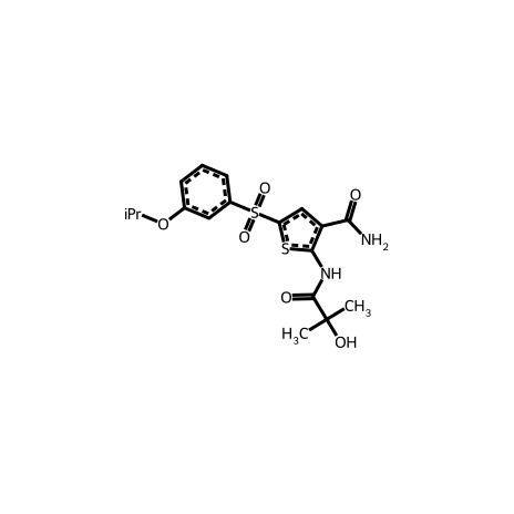 CC(C)Oc1cccc(S(=O)(=O)c2cc(C(N)=O)c(NC(=O)C(C)(C)O)s2)c1